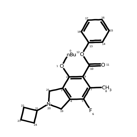 CCCCOc1c2c(c(F)c(C)c1C(=O)Oc1ccccc1)CN(C1CCC1)C2